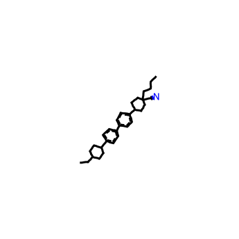 CCCCC1(C#N)CCC(c2ccc(-c3ccc(C4CCC(CC)CC4)cc3)cc2)CC1